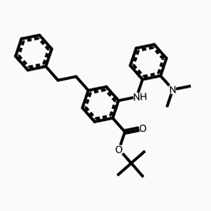 CN(C)c1ccccc1Nc1cc(CCc2ccccc2)ccc1C(=O)OC(C)(C)C